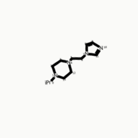 CC(C)N1CCN(CCn2ccnc2)CC1